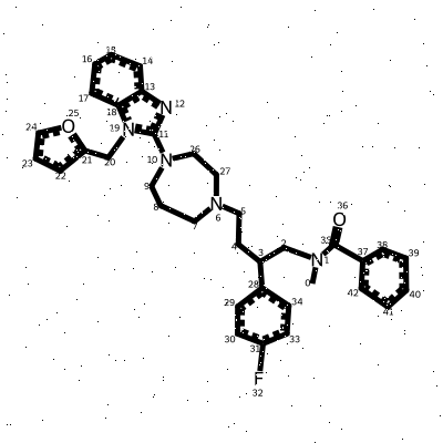 CN(CC(CCN1CCCN(c2nc3ccccc3n2Cc2ccco2)CC1)c1ccc(F)cc1)C(=O)c1ccccc1